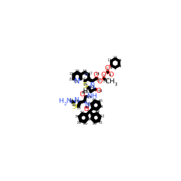 CC(OC(=O)OC1CCCCC1)OC(=O)C1=C(/C=C\c2cccnc2)CS[C@H]2[C@H](NC(=O)C(=NOC(c3ccccc3)(c3ccccc3)c3ccccc3)c3csc(N)n3)C(=O)N12